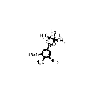 COc1cc(B2OC(C)(C)C(C)(C)O2)cc(N)c1C